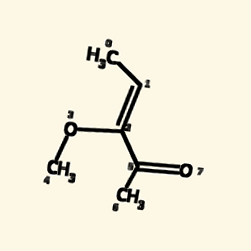 CC=C(OC)C(C)=O